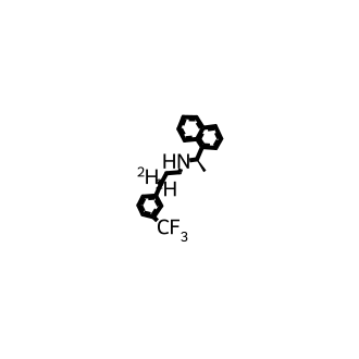 [2H]C([2H])(CCN[C@H](C)c1cccc2ccccc12)c1cccc(C(F)(F)F)c1